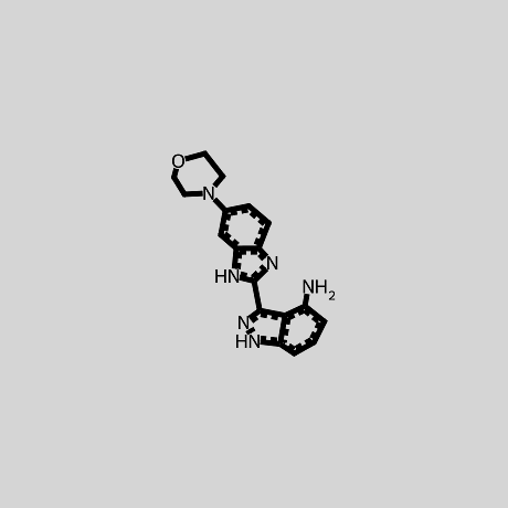 Nc1cccc2[nH]nc(-c3nc4ccc(N5CCOCC5)cc4[nH]3)c12